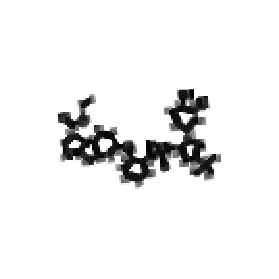 CCOC(=O)c1cnc2sc3cc(Oc4ccccc4NC(=O)Nc4cc(C(C)(C)C)nn4-c4ccc(O)c(Cl)c4)ccc3n12